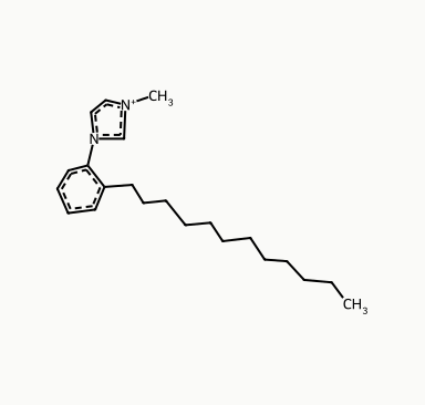 CCCCCCCCCCCCc1ccccc1-n1cc[n+](C)c1